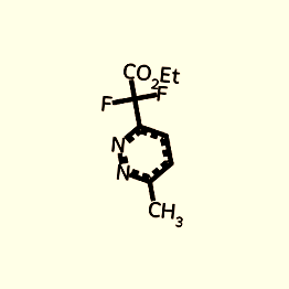 CCOC(=O)C(F)(F)c1ccc(C)nn1